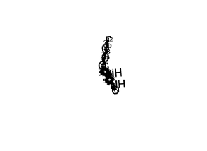 O=CNc1ccc2c(c1)[nH]c1cc(OCCOCCOCCF)ccc12